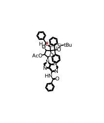 C=CC1(C(O[SiH2]C(C)(C)C)(c2ccccc2)c2ccccc2)OC(n2cnc3c(NC(=O)c4ccccc4)ncnc32)C(OC(C)=O)C1OCc1ccccc1